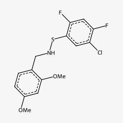 COc1ccc(CNSc2cc(Cl)c(F)cc2F)c(OC)c1